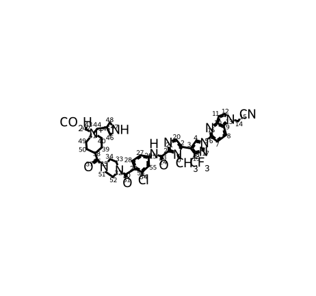 Cn1c(-c2cn(-c3ccc4c(ccn4CC#N)n3)nc2C(F)(F)F)cnc1C(=O)Nc1ccc(C(=O)N2CCN(C(=O)C3CC[N+](CC(=O)O)(CC4CNC4)CC3)CC2)c(Cl)c1